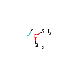 CF.[SiH3]O[SiH3]